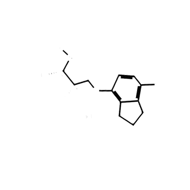 Cc1ccc(OC[C@H](O)[C@H](C)NC(C)C)c2c1CCC2.Cl